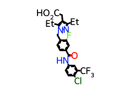 CCc1nn(Cc2ccc(C(=O)Nc3ccc(Cl)c(C(F)(F)F)c3)cc2F)c(CC)c1CC(=O)O